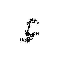 CCCCN(C)C(=O)C[S+]([O-])CCCCCOc1ccc([C@H]2C[C@@]3(C)C(CC[C@@H]3O)C3CCc4cc(O)ccc4C32)cc1